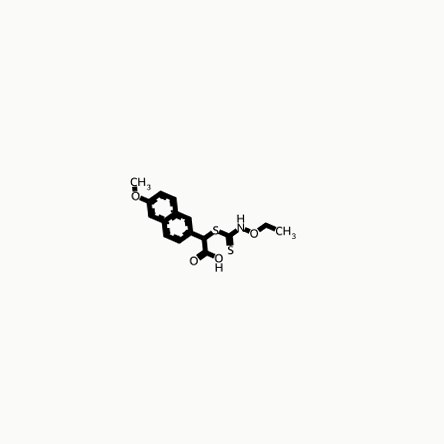 CCONC(=S)SC(C(=O)O)c1ccc2cc(OC)ccc2c1